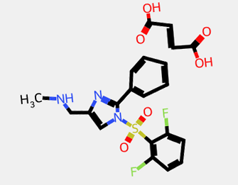 CNCc1cn(S(=O)(=O)c2c(F)cccc2F)c(-c2ccccc2)n1.O=C(O)/C=C/C(=O)O